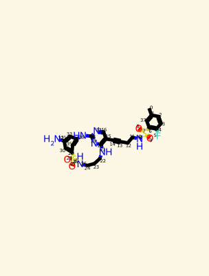 Cc1ccc(F)c(S(=O)(=O)NCCC#Cc2cnc3nc2NCCCNS(=O)(=O)c2cc(N)cc(c2)N3)c1